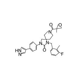 Cc1c(F)cccc1CN1C(=O)N(c2ccc(-c3cn[nH]c3)cc2)CC12CCN(C(=O)C1(C)COC1)CC2